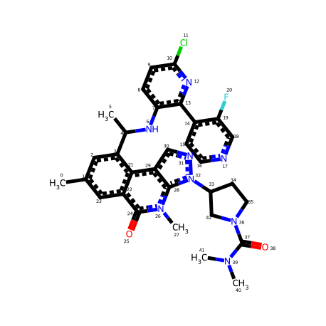 Cc1cc(C(C)Nc2ccc(Cl)nc2-c2ccncc2F)c2c(c1)c(=O)n(C)c1c2cnn1C1CCN(C(=O)N(C)C)C1